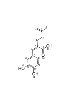 C=C(C)CCC(=Cc1ccc(O)c(O)c1)C(=O)O